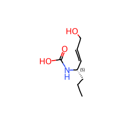 CCC[C@@H](C=CCO)NC(=O)O